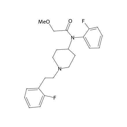 COCC(=O)N(c1ccccc1F)C1CCN(CCc2ccccc2F)CC1